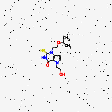 CC(C)OCCN1c2ccn(CCO)c2C(=O)NC1S